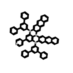 c1ccc(-c2cc(-c3ccccc3)cc(N3c4cc5cc6ccccc6cc5cc4B4c5cc6cc7ccccc7cc6cc5N(c5cc(-c6ccccc6)cc(-c6ccccc6)c5)c5cc(-c6ccncc6)cc3c54)c2)cc1